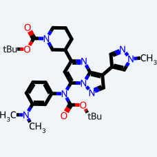 CN(C)c1cccc(N(C(=O)OC(C)(C)C)c2cc(C3CCCN(C(=O)OC(C)(C)C)C3)nc3c(-c4cnn(C)c4)cnn23)c1